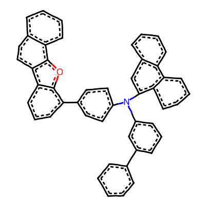 c1ccc(-c2cccc(N(c3ccc(-c4cccc5c4oc4c6ccccc6ccc54)cc3)c3cc4ccccc4c4ccccc34)c2)cc1